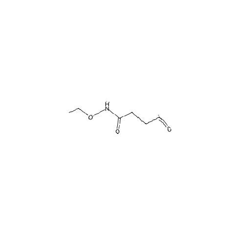 CCONC(=O)CC[C]=O